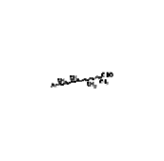 CC(=O)/C(C)=C/C=C/C(C)=C/C=C/C=C(C)/C=C/C=C(\C)C=O